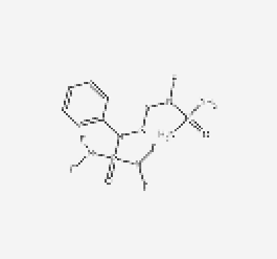 NP(N)(=O)N(F)SSN(c1ccccc1)P(=O)(N(F)F)N(F)F